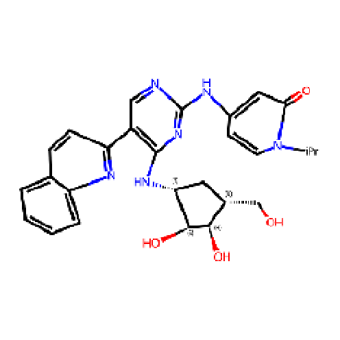 CC(C)n1ccc(Nc2ncc(-c3ccc4ccccc4n3)c(N[C@@H]3C[C@H](CO)[C@@H](O)[C@H]3O)n2)cc1=O